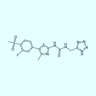 Cc1nc(NC(=O)NCc2nnn[nH]2)sc1-c1ccc(S(C)(=O)=O)c(F)c1